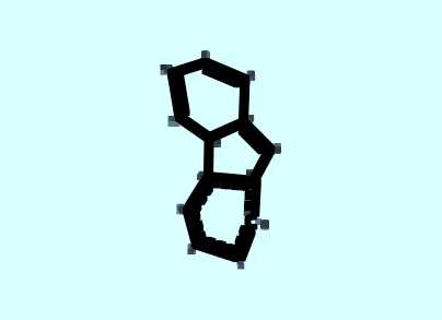 [c]1cccc2c1C=C1C=CC=CC12